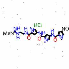 CNC(=N)NCCNC(=O)c1cc(NC(=O)c2cc(NC(=O)c3cc([N+](=O)[O-])cn3C)cn2C)cn1C.Cl